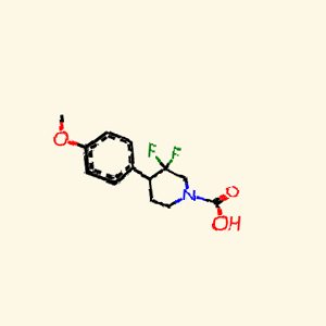 COc1ccc(C2CCN(C(=O)O)CC2(F)F)cc1